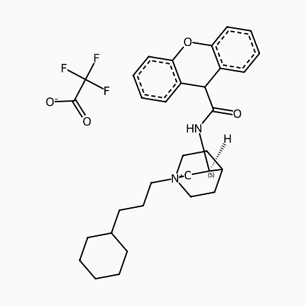 O=C(N[C@@H]1C[N+]2(CCCC3CCCCC3)CCC1CC2)C1c2ccccc2Oc2ccccc21.O=C([O-])C(F)(F)F